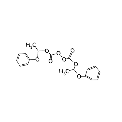 CC(OC(=O)OOC(=O)OC(C)Oc1ccccc1)Oc1ccccc1